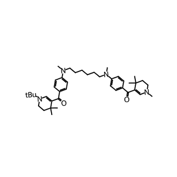 CN1C=C(C(=O)c2ccc(N(C)CCCCCCN(C)c3ccc(C(=O)C4=CN(C(C)(C)C)CCC4(C)C)cc3)cc2)C(C)(C)CC1